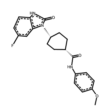 COc1ccc(NC(=O)[C@H]2CC[C@@H](n3c(=O)[nH]c4ccc(F)cc43)CC2)cc1